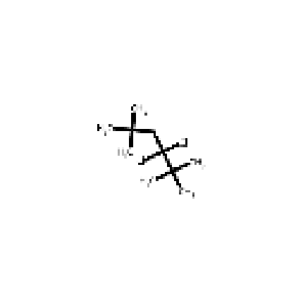 CC(C)(C)CC(Cl)(Cl)C(C)(C)C